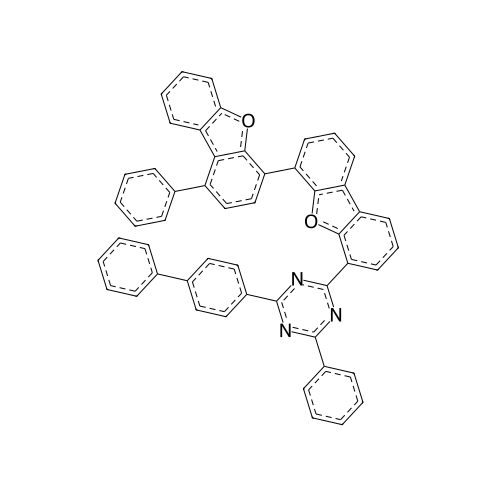 c1ccc(-c2ccc(-c3nc(-c4ccccc4)nc(-c4cccc5c4oc4c(-c6ccc(-c7ccccc7)c7c6oc6ccccc67)cccc45)n3)cc2)cc1